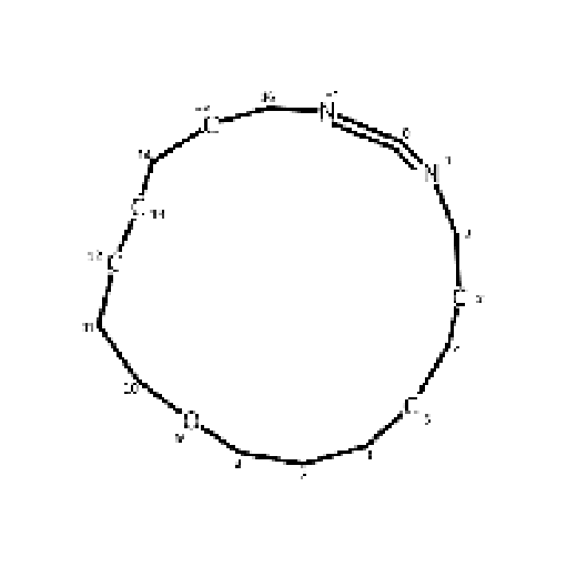 C1=NCCCCCCCOCCCCCCCN=1